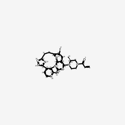 C=CC(=O)N1CCN(c2nc(=O)n3c4nc(c(F)cc24)CCc2nc(no2)-c2ccnc(C(C)C)c2-3)[C@@H](C)C1